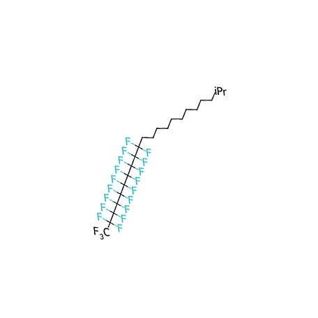 CC(C)CCCCCCCCCCC(F)(F)C(F)(F)C(F)(F)C(F)(F)C(F)(F)C(F)(F)C(F)(F)C(F)(F)C(F)(F)C(F)(F)F